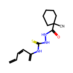 C=C/C=C\C(=C)NC(=S)NNC(=O)C1(C#N)CCCCC1